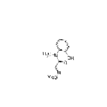 CON=CC(=O)N(C)c1ccccc1O